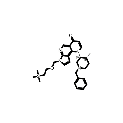 C[C@@H]1CCN(Cc2ccccc2)C[C@@H]1n1ccc(=O)c2cnc3c(ccn3COCC[Si](C)(C)C)c21